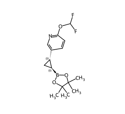 CC1(C)OB([C@H]2C[C@@H]2c2ccc(OC(F)F)nc2)OC1(C)C